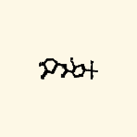 CC(F)(F)c1ccc(C(=O)Nc2cc[nH]c(=O)c2)c(F)c1